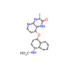 Cc1nc2nccc(Oc3ccc(NC(=O)O)c4ccccc34)c2[nH]c1=O